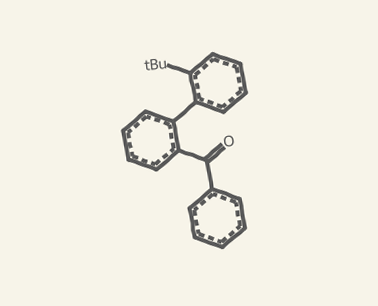 CC(C)(C)c1ccccc1-c1ccccc1C(=O)c1ccccc1